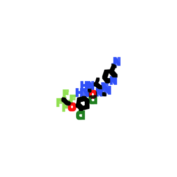 C[C@H](NC(=O)Nc1cc(OC(F)(F)C(F)F)c(Cl)cc1Cl)c1ncnn1-c1ccc(C#N)cn1